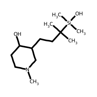 CN1CCC(O)C(CCC(C)(C)[Si](C)(C)O)C1